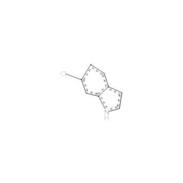 Clc1[c]cc2cc[nH]c2c1